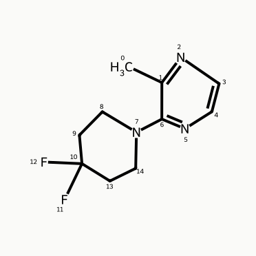 Cc1nccnc1N1CCC(F)(F)CC1